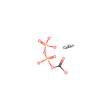 O=C([O-])OP(=O)([O-])OP(=O)([O-])[O-].[Ca+2].[Ca+2]